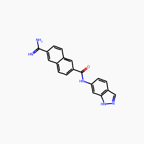 N=C(N)c1ccc2cc(C(=O)Nc3ccc4cn[nH]c4c3)ccc2c1